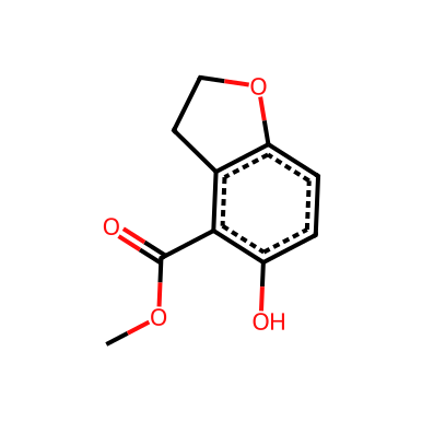 COC(=O)c1c(O)ccc2c1CCO2